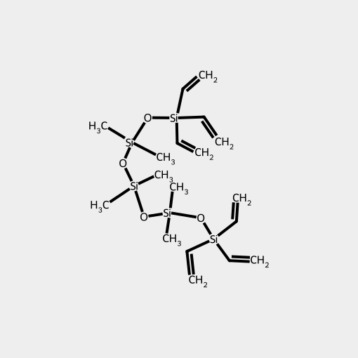 C=C[Si](C=C)(C=C)O[Si](C)(C)O[Si](C)(C)O[Si](C)(C)O[Si](C=C)(C=C)C=C